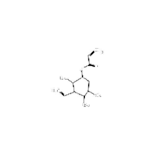 C=CC(=O)OC1CC(C(C)(C)C)C(C(C)(C)C)C(C=C)C1C(C)(C)C